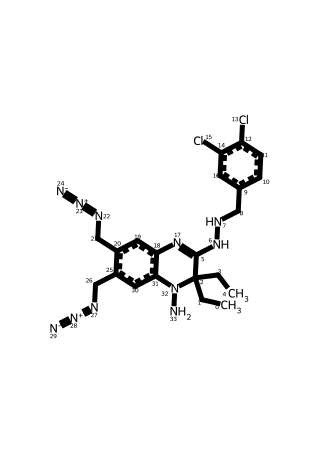 CCC1(CC)C(NNCc2ccc(Cl)c(Cl)c2)=Nc2cc(CN=[N+]=[N-])c(CN=[N+]=[N-])cc2N1N